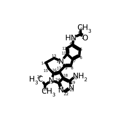 CC(=O)Nc1ccc2cc3n(c2c1)CCCc1c-3c2c(N)ncnc2n1C(C)C